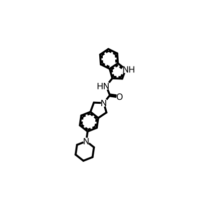 O=C(Nc1c[nH]c2ccccc12)N1Cc2ccc(N3CCCCC3)cc2C1